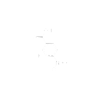 O=C(O)c1ccc([N+](=O)[O-])cc1.[K]